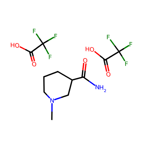 CN1CCCC(C(N)=O)C1.O=C(O)C(F)(F)F.O=C(O)C(F)(F)F